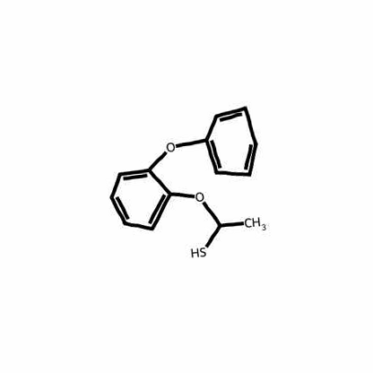 CC(S)Oc1ccccc1Oc1ccccc1